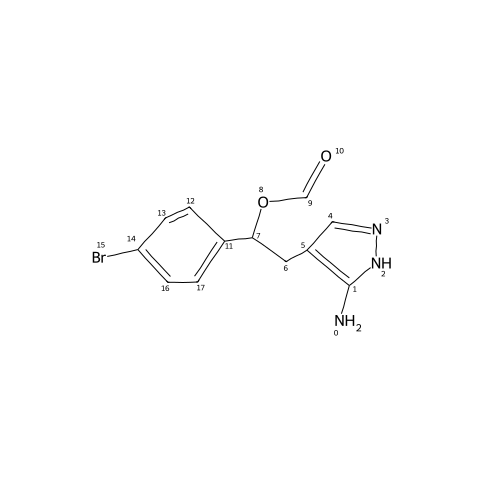 Nc1[nH]ncc1CC(OC=O)c1ccc(Br)cc1